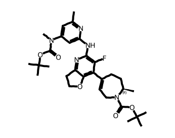 Cc1cc(N(C)C(=O)OC(C)(C)C)cc(Nc2nc3c(c(C4=CCN(C(=O)OC(C)(C)C)[C@H](C)CC4)c2F)OCC3)n1